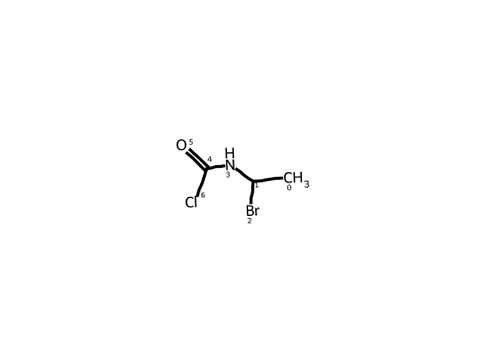 CC(Br)NC(=O)Cl